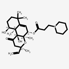 C=C[C@@]1(C)CC(=O)[C@@]2(O)[C@](C)(O1)[C@@H](OC(=O)CCN1CCCCC1)C=C1C(C)(C)CC[C@H](O)[C@@]12C